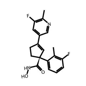 Cc1ncc(C2=C[C@](C(=O)NO)(c3cccc(F)c3C)CC2)cc1F